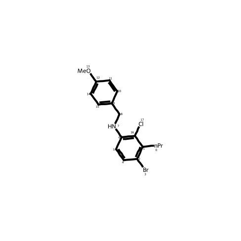 CCCc1c(Br)ccc(NCc2ccc(OC)cc2)c1Cl